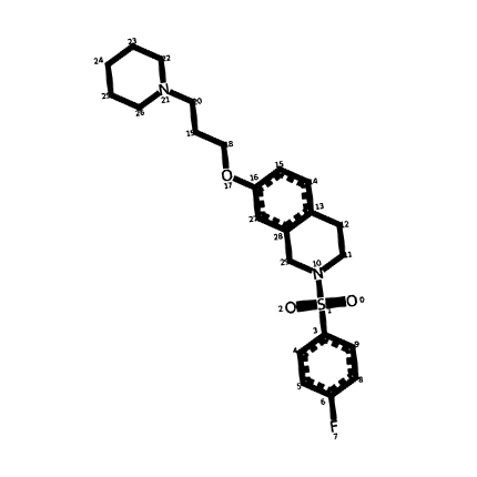 O=S(=O)(c1ccc(F)cc1)N1CCc2ccc(OCCCN3CCCCC3)cc2C1